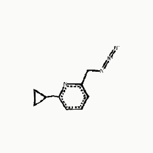 [N-]=[N+]=NCc1cccc(C2CC2)n1